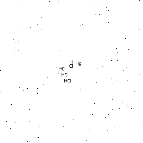 Cl.Cl.Cl.Cl.[Hg]